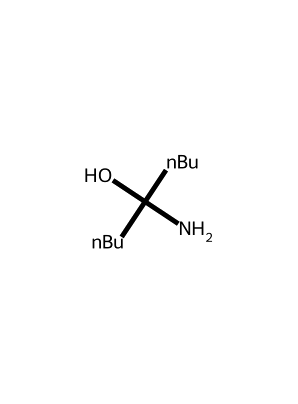 CCCCC(N)(O)CCCC